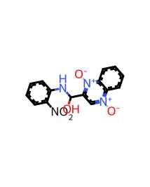 O=[N+]([O-])c1ccccc1NC(O)c1c[n+]([O-])c2ccccc2[n+]1[O-]